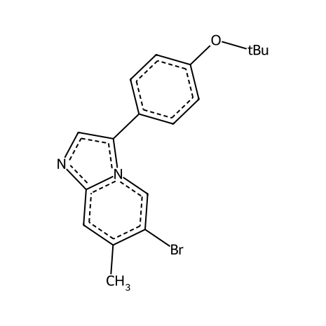 Cc1cc2ncc(-c3ccc(OC(C)(C)C)cc3)n2cc1Br